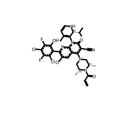 C=CC(=O)N1[C@H](C)CN(c2c(C#N)c(=O)n(C3=C(C)C=CN[C@@H]3C(C)C)c3nc(-c4c(O)c(F)c(Cl)c(F)c4Cl)c(Cl)cc23)C[C@@H]1C